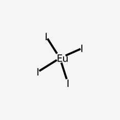 [I][Eu]([I])([I])[I]